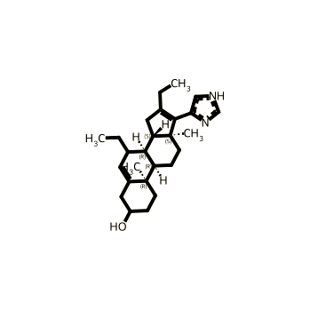 CCC1=C(c2c[nH]cn2)[C@@]2(C)CC[C@@H]3[C@@H](C(CC)C=C4CC(O)CC[C@@]43C)[C@@H]2C1